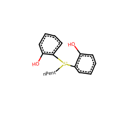 CCCCC[S+](c1ccccc1O)c1ccccc1O